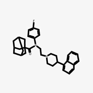 O=C(N(CCN1CCC(c2cccc3ccccc23)CC1)c1ccc(F)cc1)C12CC3CC(CC(C3)C1)C2